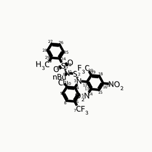 CCCCN(SN(c1cc(C(F)(F)F)ccc1Cl)c1c([N+](=O)[O-])cc([N+](=O)[O-])cc1C(F)(F)F)S(=O)(=O)c1ccccc1C